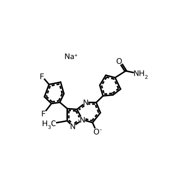 Cc1nn2c([O-])cc(-c3ccc(C(N)=O)cc3)nc2c1-c1ccc(F)cc1F.[Na+]